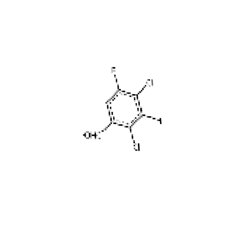 O=[C]c1cc(F)c(Cl)c(I)c1Cl